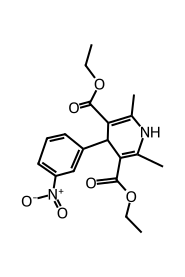 CCOC(=O)C1=C(C)NC(C)=C(C(=O)OCC)C1c1cccc([N+](=O)[O-])c1